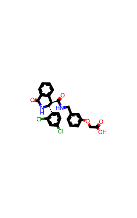 O=C(O)COc1cccc(CNC(=O)[C@@H]2c3ccccc3C(=O)N[C@H]2c2ccc(Cl)cc2Cl)c1